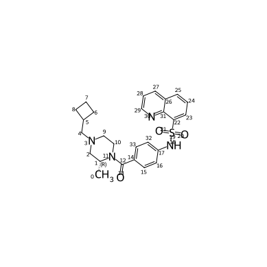 C[C@@H]1CN(CC2CCC2)CCN1C(=O)c1ccc(NS(=O)(=O)c2cccc3cccnc23)cc1